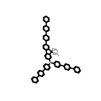 CC1(C)c2cc(-c3ccc(-c4ccc(-c5ccccc5)cc4)cc3)ccc2-c2ccc(N(c3ccc(-c4ccc(-c5ccccc5)cc4)cc3)c3ccc(-c4ccc(-c5ccccc5)cc4)cc3)cc21